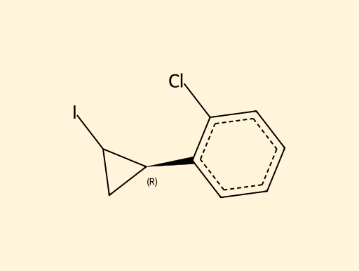 Clc1ccccc1[C@H]1CC1I